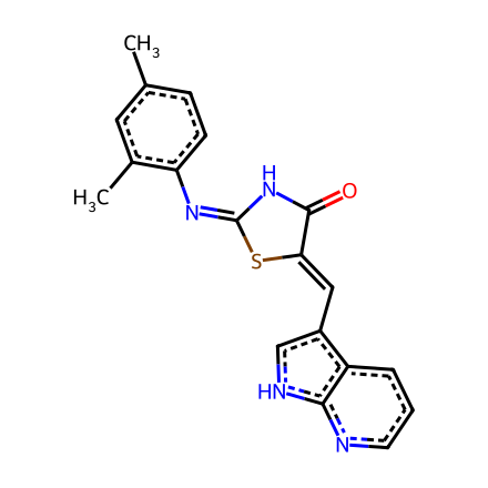 Cc1ccc(N=C2NC(=O)C(=Cc3c[nH]c4ncccc34)S2)c(C)c1